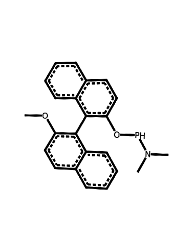 COc1ccc2ccccc2c1-c1c(OPN(C)C)ccc2ccccc12